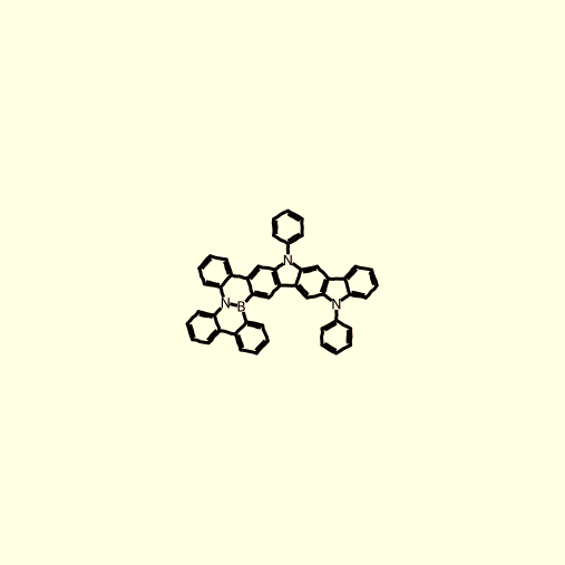 c1ccc(-n2c3ccccc3c3cc4c(cc32)c2cc3c(cc2n4-c2ccccc2)-c2ccccc2N2B3c3ccccc3-c3ccccc32)cc1